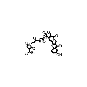 CCc1c2c(nc3ccc(O)cc13)-c1cc3c(c(=O)n1C2)COC(=O)[C@@]3(CC)OC(=O)CNC(=O)CCN1C(=O)CC(C(CC)CC)C1=O